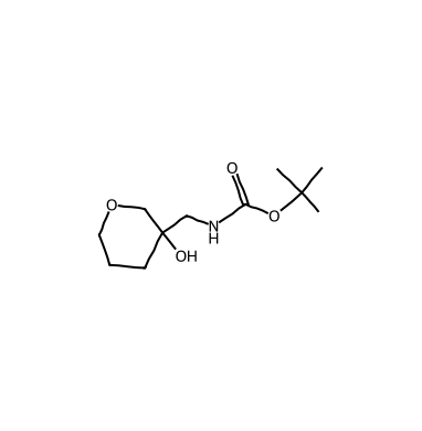 CC(C)(C)OC(=O)NCC1(O)CCCOC1